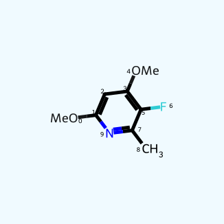 COc1cc(OC)c(F)c(C)n1